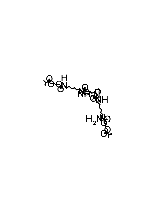 C=C(C)C(=O)OCCOC(=O)NCCCCCCN(N)C(=O)OCCC1CCCCN1C(=O)NCCCCCCN(N)C(=O)OCCOC(=O)C(=C)C